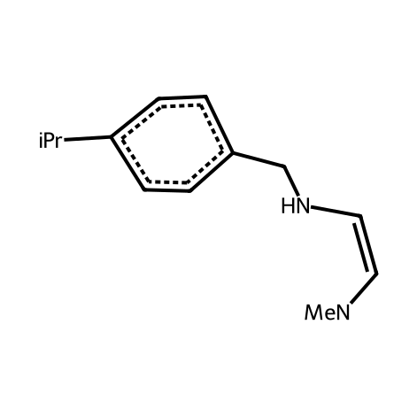 CN/C=C\NCc1ccc(C(C)C)cc1